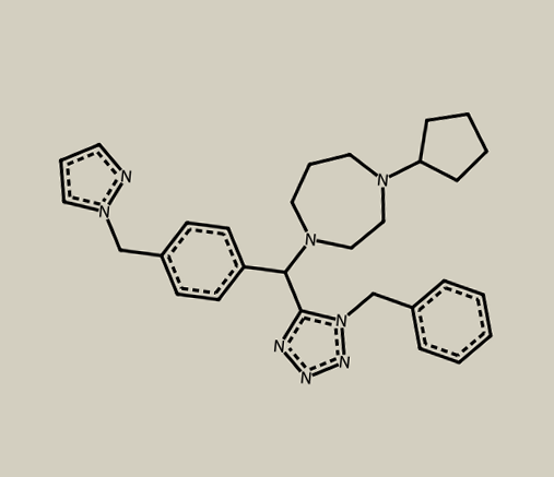 c1ccc(Cn2nnnc2C(c2ccc(Cn3cccn3)cc2)N2CCCN(C3CCCC3)CC2)cc1